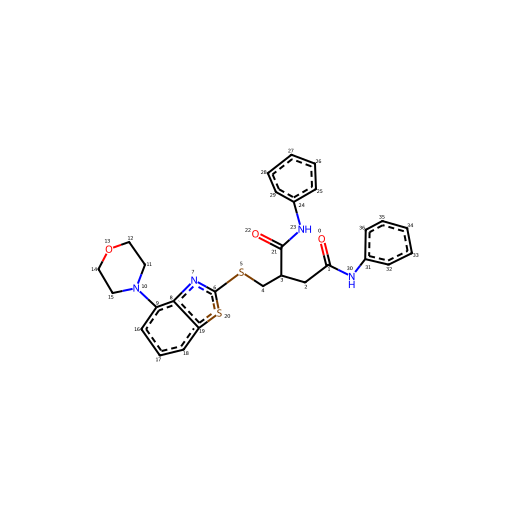 O=C(CC(CSc1nc2c(N3CCOCC3)cccc2s1)C(=O)Nc1ccccc1)Nc1ccccc1